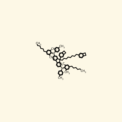 CCCCCCc1cc(C)c(N(c2ccc(C)cc2)c2ccc3c(c2)C(CCCCCCCCc2ccc4c(c2)CC4)(c2ccc4c(c2)CC4)c2cc(N(c4ccc(C)cc4)c4c(C)cc(CCCCCC)cc4C)ccc2-3)c(C)c1